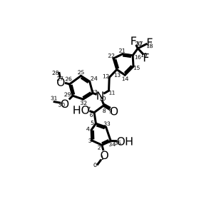 COc1ccc(C(O)C(=O)N(CCc2ccc(C(F)(F)F)cc2)c2ccc(OC)c(OC)c2)cc1O